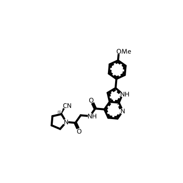 COc1ccc(-c2cc3c(C(=O)NCC(=O)N4CCC[C@H]4C#N)ccnc3[nH]2)cc1